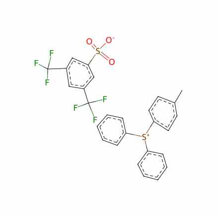 Cc1ccc([S+](c2ccccc2)c2ccccc2)cc1.O=S(=O)([O-])c1cc(C(F)(F)F)cc(C(F)(F)F)c1